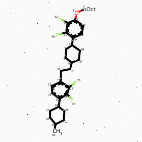 CCCCCCCCOc1ccc(C2CCC(CCc3ccc(C4CCC(C)CC4)c(F)c3F)CC2)c(F)c1F